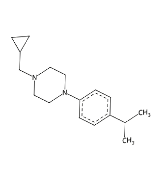 CC(C)c1ccc(N2CCN(CC3CC3)CC2)cc1